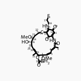 CO[C@@H]1/C=C\C=C(/C)C(=O)NC2=CC(=O)C(NCCF)=C(C[C@@H](C)C[C@@H](OC)[C@@H](O)[C@@H](C)/C=C(\C)[C@@H]1OC(N)=O)C2=O